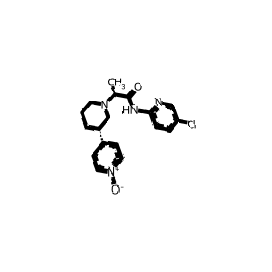 C[C@@H](C(=O)Nc1ccc(Cl)cn1)N1CCC[C@@H](c2cc[n+]([O-])cc2)C1